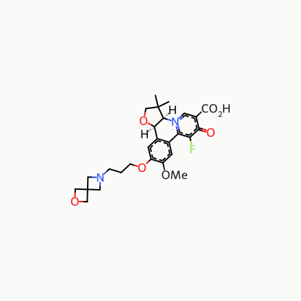 COc1cc2c(cc1OCCCN1CC3(COC3)C1)[C@H]1OCC(C)(C)[C@H]1n1cc(C(=O)O)c(=O)c(F)c1-2